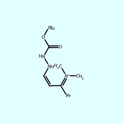 CC(C)C(/C=C\NNC(=O)OC(C)(C)C)=[N+](C)C